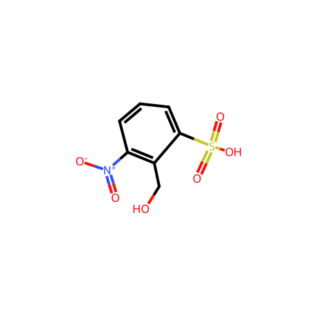 O=[N+]([O-])c1cccc(S(=O)(=O)O)c1CO